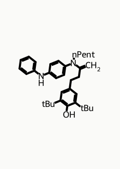 C=C(CCc1cc(C(C)(C)C)c(O)c(C(C)(C)C)c1)N(CCCCC)c1ccc(Nc2ccccc2)cc1